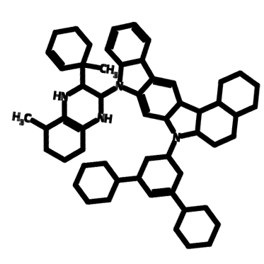 CC1CCCC2=C1NC(C1(C)C=CCCC1)C(N1C3=CC4C(C=C3C3C=CC=CC31)C1C3CCCCC3CCC1N4C1CC(C3CCCCC3)=CC(C3CCCCC3)C1)N2